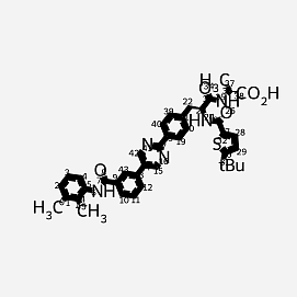 Cc1cccc(NC(=O)c2cccc(-c3cnc(-c4ccc(C[C@H](NC(=O)c5ccc(C(C)(C)C)s5)C(=O)N[C@H](C)C(=O)O)cc4)nc3)c2)c1C